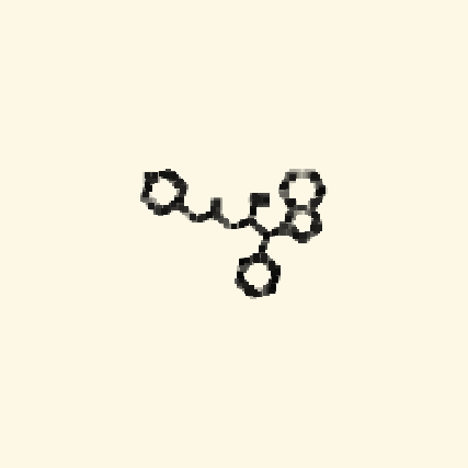 OC(CNCc1ccncc1)C(c1ccccc1)n1ccc2ccccc21